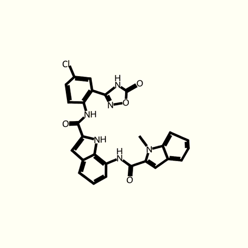 Cn1c(C(=O)Nc2cccc3cc(C(=O)Nc4ccc(Cl)cc4-c4noc(=O)[nH]4)[nH]c23)cc2ccccc21